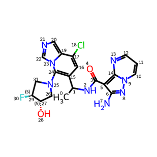 CC(NC(=O)c1c(N)nn2cccnc12)c1cc(Cl)c2cncn2c1N1C[C@H](O)[C@@H](F)C1